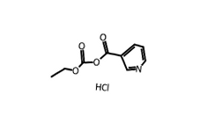 CCOC(=O)OC(=O)c1cccnc1.Cl